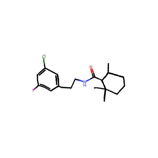 CC1CCCC(C)(C)C1C(=O)NCCc1cc(Cl)cc(I)c1